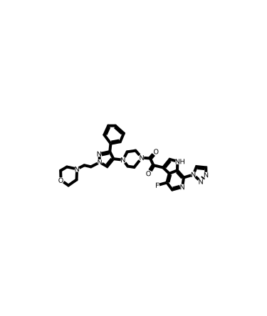 O=C(C(=O)N1CCN(c2cn(CCN3CCOCC3)nc2-c2ccccc2)CC1)c1c[nH]c2c(-n3ccnn3)ncc(F)c12